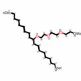 CCCCCCCCCCCCCCCCCCC(CCCCCCCCCCCCCCCCCC)OCCOCCOCCOC